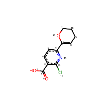 O=C(O)c1ccc(C2=CCCCO2)nc1Cl